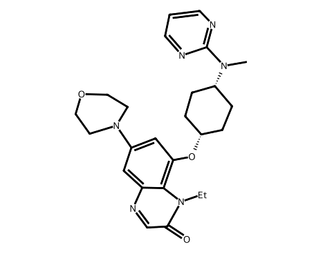 CCn1c(=O)cnc2cc(N3CCOCC3)cc(O[C@H]3CC[C@@H](N(C)c4ncccn4)CC3)c21